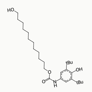 CC(C)(C)c1cc(NC(=O)OCCCCCCCCCCCCO)cc(C(C)(C)C)c1O